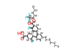 CCCCCCCc1ccc(-c2ccc(C(=O)O)cc2F)c(-c2ccc(C(=O)OC(CCCC)C(F)(F)F)c(F)c2)c1